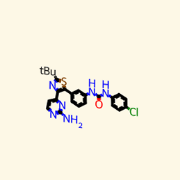 CC(C)(C)c1nc(-c2ccnc(N)n2)c(-c2cccc(NC(=O)Nc3ccc(Cl)cc3)c2)s1